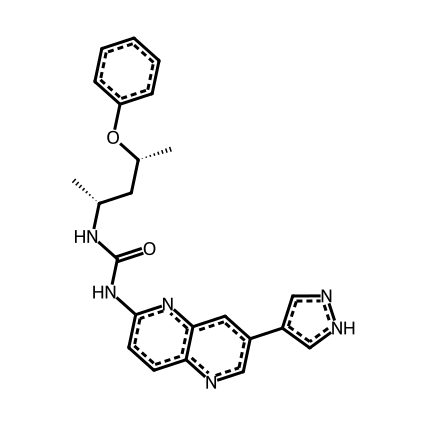 C[C@H](C[C@@H](C)Oc1ccccc1)NC(=O)Nc1ccc2ncc(-c3cn[nH]c3)cc2n1